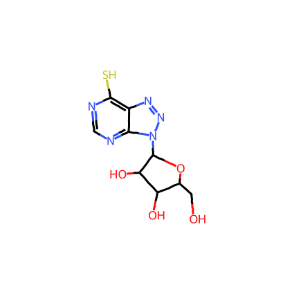 OCC1OC(n2nnc3c(S)ncnc32)C(O)C1O